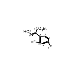 CCOC(=O)/C(=N\O)c1ccc(F)cc1F